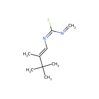 C=N/C(F)=N\C=C(/C)C(C)(C)C